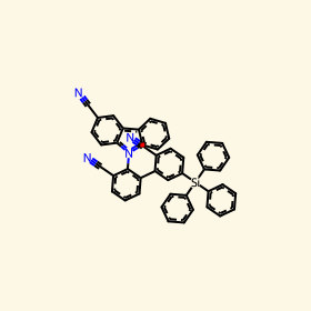 N#Cc1ccc2c(c1)c1ccccc1n2-c1c(C#N)cccc1-c1cc([Si](c2ccccc2)(c2ccccc2)c2ccccc2)ccc1C#N